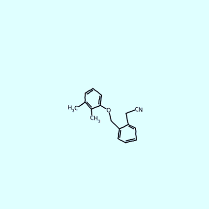 Cc1cccc(OCc2ccccc2CC#N)c1C